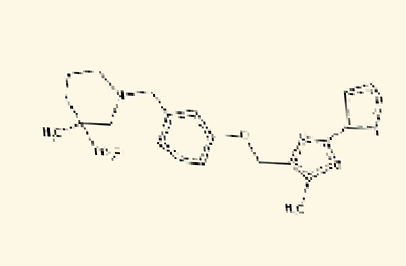 CCOC(=O)C1(C)CCCN(Cc2cccc(OCc3nc(-c4cccs4)oc3C)c2)C1